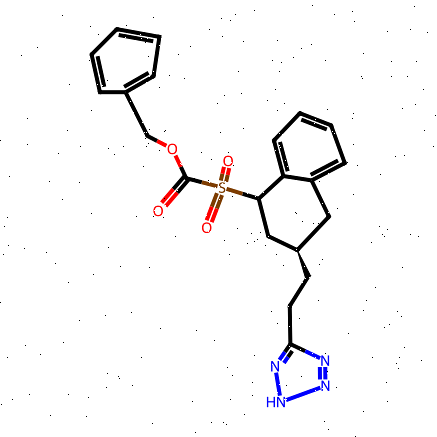 O=C(OCc1ccccc1)S(=O)(=O)C1C[C@H](CCc2nn[nH]n2)Cc2ccccc21